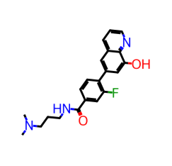 CN(C)CCCNC(=O)c1ccc(-c2cc(O)c3ncccc3c2)c(F)c1